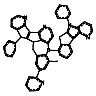 Cc1cc(-c2ccccn2)cc2c1B(c1cccc3c1Cc1c-3c3ncccc3n1-c1ccccc1)c1ccnc3c1C(C2)C1=C3c2ncccc2C1c1ccccc1